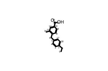 CCc1ccc(Cc2ccc(C(=O)O)cc2C)cc1